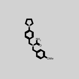 COc1ccc(CN(Cc2ccc(N3CCCC3)cc2)C(N)=O)cc1